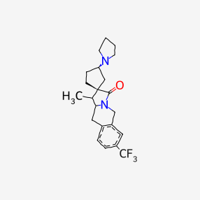 CC1C2Cc3ccc(C(F)(F)F)cc3CN2C(=O)[C@]12CC[C@@H](N1CCCC1)C2